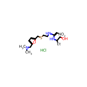 CCC(CO)N/C(=C\[N+](=O)[O-])NCCSCc1ccc(CN(C)C)o1.Cl